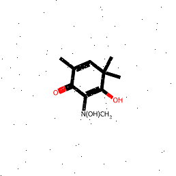 CC1=CC(C)(C)C(O)=C(N(C)O)C1=O